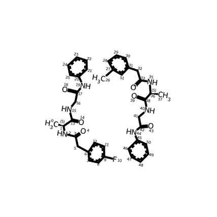 C[C@H](NC(=O)Cc1ccc(F)cc1)C(=O)NCC(=O)Nc1ccccc1.Cc1cccc(CC(=O)N[C@@H](C)C(=O)NCC(=O)Nc2ccccc2)c1